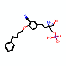 N#Cc1cc(CCC(N)(CO)COP(=O)(O)O)ccc1OCCCCc1ccccc1